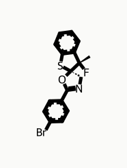 C[C@]1(F)c2ccccc2S[C@@]12CN=C(c1ccc(Br)cc1)O2